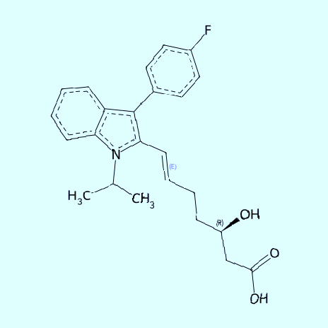 CC(C)n1c(/C=C/CC[C@@H](O)CC(=O)O)c(-c2ccc(F)cc2)c2ccccc21